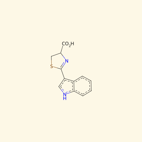 O=C(O)C1CSC(c2c[nH]c3ccccc23)=N1